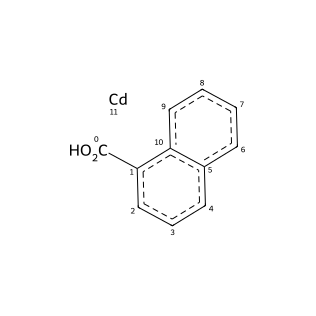 O=C(O)c1cccc2ccccc12.[Cd]